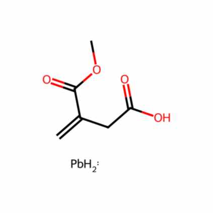 C=C(CC(=O)O)C(=O)OC.[PbH2]